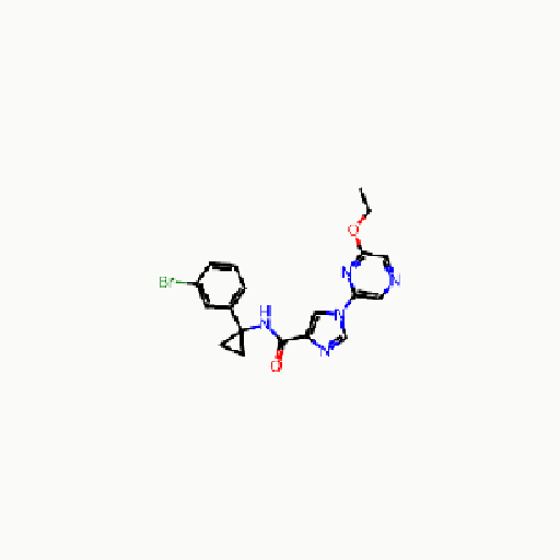 CCOc1cncc(-n2cnc(C(=O)NC3(c4cccc(Br)c4)CC3)c2)n1